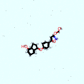 COCOc1cc(-c2ccc(OC3CCc4c(O)cccc43)cc2)on1